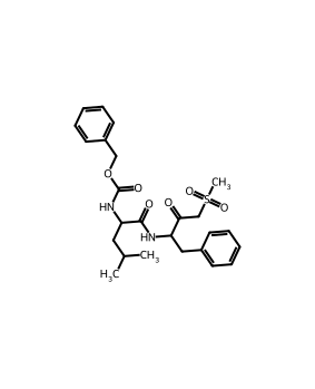 CC(C)CC(NC(=O)OCc1ccccc1)C(=O)NC(Cc1ccccc1)C(=O)CS(C)(=O)=O